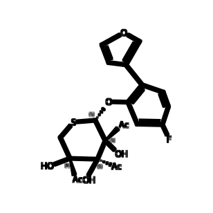 CC(=O)[C@]1(O)[C@@](O)(C(C)=O)CS[C@H](Oc2cc(F)ccc2-c2ccoc2)[C@@]1(O)C(C)=O